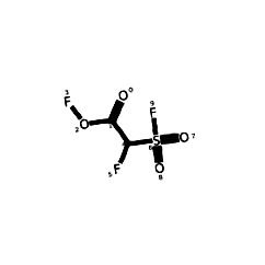 O=C(OF)C(F)S(=O)(=O)F